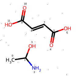 CC(N)O.O=C(O)C=CC(=O)O